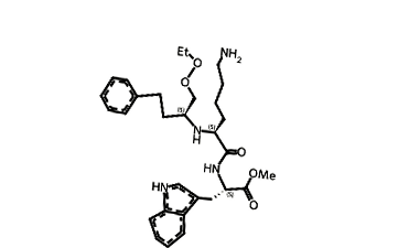 CCOOC[C@H](CCc1ccccc1)N[C@@H](CCCCN)C(=O)N[C@@H](Cc1c[nH]c2ccccc12)C(=O)OC